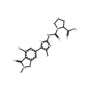 Cc1nc(NC(=O)N2CCCC2C(N)=O)sc1-c1cc(Cl)c2c(c1)CN(C)C2=O